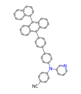 N#Cc1ccc(N(c2ccc(-c3ccc(-c4c5ccccc5c(-c5cccc6ccccc56)c5ccccc45)cc3)cc2)c2cccnc2)cc1